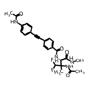 CC(=O)Nc1ccc(C#Cc2ccc(C(=O)N[C@H](C(=O)NO)C(C)(NC(C)=O)C(F)F)cc2)cc1